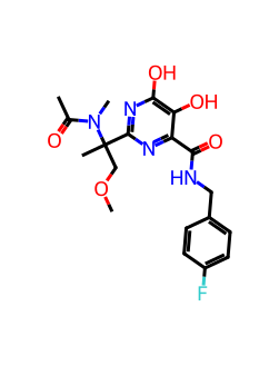 COCC(C)(c1nc(O)c(O)c(C(=O)NCc2ccc(F)cc2)n1)N(C)C(C)=O